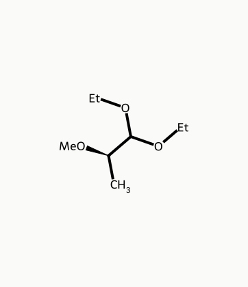 CCOC(OCC)[C@@H](C)OC